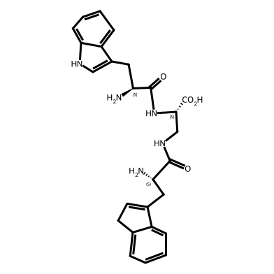 N[C@@H](CC1=CCc2ccccc21)C(=O)NC[C@H](NC(=O)[C@@H](N)Cc1c[nH]c2ccccc12)C(=O)O